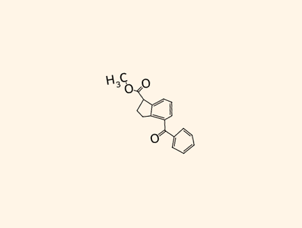 COC(=O)C1CCc2c(C(=O)c3ccccc3)cccc21